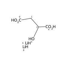 O=C(O)CC(O)C(=O)O.[LiH].[LiH]